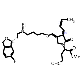 C\C=C/C=C1/C(=O)N(C(CCC=O)C(=O)NC)C/C1=C\OCCCCN(CC)CC[C@H]1OCc2ccc(F)cc21